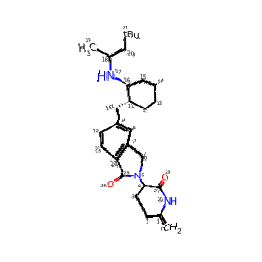 C=C1CCC(N2Cc3cc(C[C@H]4CCCC[C@@H]4NC(C)CC(C)(C)C)ccc3C2=O)C(=O)N1